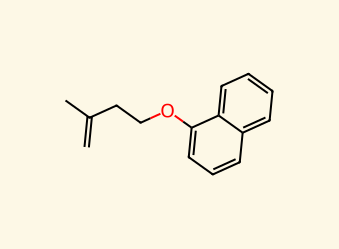 C=C(C)CCOc1cccc2ccccc12